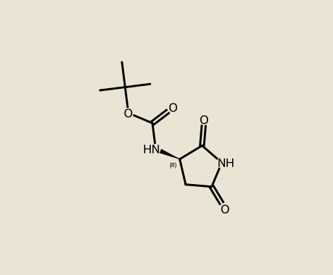 CC(C)(C)OC(=O)N[C@@H]1CC(=O)NC1=O